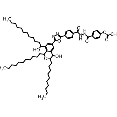 CCCCCCCCCCCC(O)c1cc(-c2nnc(-c3ccc(C(=O)NNC(=O)c4ccc(OC(C)=O)cc4)cc3)o2)cc(C(O)CCCCCCCCCCC)c1C(O)CCCCCCCCCCC